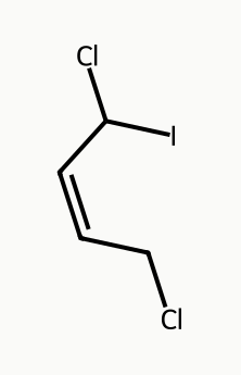 ClC/C=C\C(Cl)I